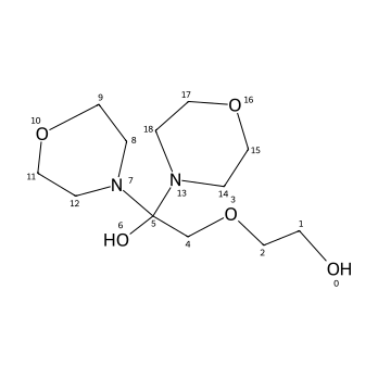 OCCOCC(O)(N1CCOCC1)N1CCOCC1